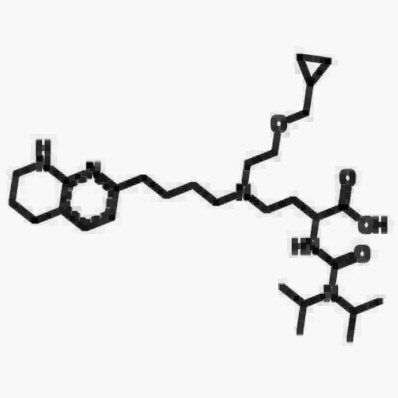 CC(C)N(C(=O)NC(CCN(CCCCc1ccc2c(n1)NCCC2)CCOCC1CC1)C(=O)O)C(C)C